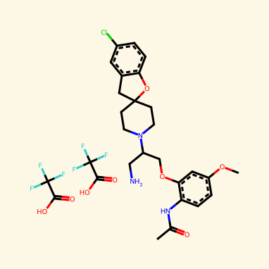 COc1ccc(NC(C)=O)c(OCC(CN)N2CCC3(CC2)Cc2cc(Cl)ccc2O3)c1.O=C(O)C(F)(F)F.O=C(O)C(F)(F)F